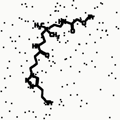 CC(C)CCc1cn(CCCC(=O)NCC[N+](C)(C)CCNC(=O)COC(C)C)nn1